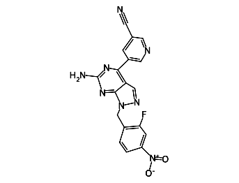 N#Cc1cncc(-c2nc(N)nc3c2cnn3Cc2ccc([N+](=O)[O-])cc2F)c1